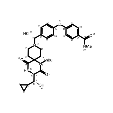 CCCCN1C(=O)[C@@H]([C@H](O)C2CC2)NC(=O)C12CCN(Cc1ccc(Oc3ccc(C(=O)NC)cc3)cc1)CC2.Cl